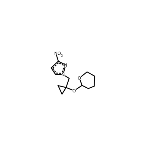 O=[N+]([O-])c1ccn(CC2(OC3CCCCO3)CC2)n1